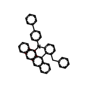 c1ccc(Cc2cccc(N(c3ccccc3)c3ccc(-c4ccccc4)cc3)c2-c2c(Cc3ccccc3)ccc3ccccc23)cc1